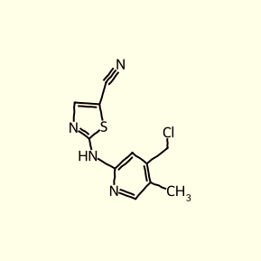 Cc1cnc(Nc2ncc(C#N)s2)cc1CCl